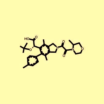 Cc1ccc(-c2c(C)c3c(c(C)c2[C@H](OC(C)(C)C)C(=O)O)CN(C(=O)C(=O)N2CCOCC2C)C3)cc1